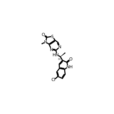 C[C@H](Nc1ncc2sc(=O)n(C)c2n1)c1cc2cc(Cl)ccc2[nH]c1=O